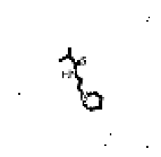 CC(C)C(=S)NCCN1CCCCC1